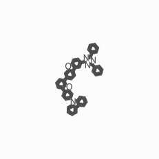 c1ccc(-c2nc(-c3ccccc3)nc(-c3ccc4oc5cc(-c6cccc7c6oc6cc(-n8c9ccccc9c9ccccc98)ccc67)ccc5c4c3)n2)cc1